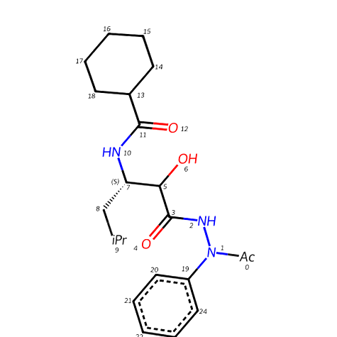 CC(=O)N(NC(=O)C(O)[C@H](CC(C)C)NC(=O)C1CCCCC1)c1ccccc1